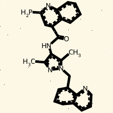 Cc1nn(Cc2cccc3cccnc23)c(C)c1NC(=O)c1cc(P)nc2ccccc12